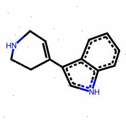 [c]1[nH]c2ccccc2c1C1=CCNCC1